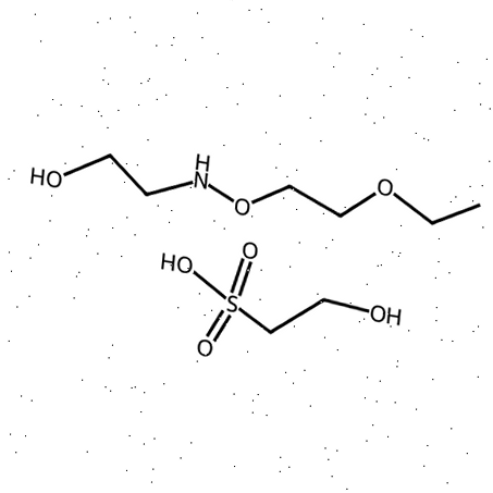 CCOCCONCCO.O=S(=O)(O)CCO